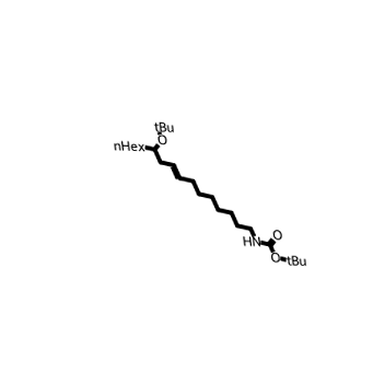 CCCCCCC(C/C=C/CCCCCCCNC(=O)OC(C)(C)C)OC(C)(C)C